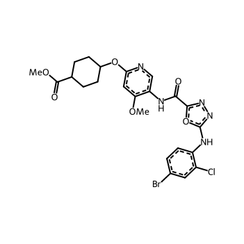 COC(=O)C1CCC(Oc2cc(OC)c(NC(=O)c3nnc(Nc4ccc(Br)cc4Cl)o3)cn2)CC1